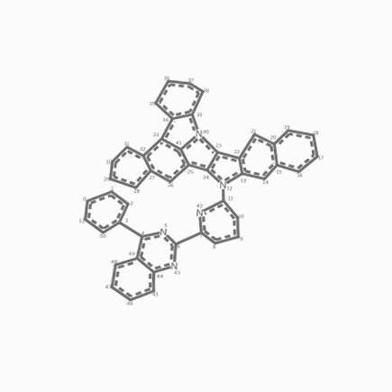 c1ccc(-c2nc(-c3cccc(-n4c5cc6ccccc6cc5c5c4c4cc6ccccc6c6c7ccccc7n5c46)n3)nc3ccccc23)cc1